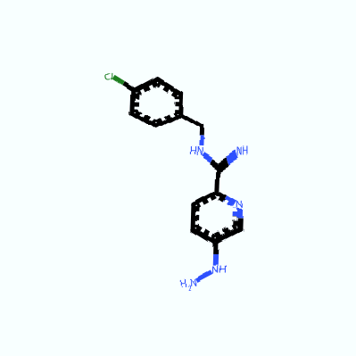 N=C(NCc1ccc(Cl)cc1)c1ccc(NN)cn1